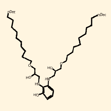 CCCCCCCCCCCCCCCCCCCCOCC(O)CNc1cccc(O)c1NCC(O)COCCCCCCCCCCCCCCCCCCCC